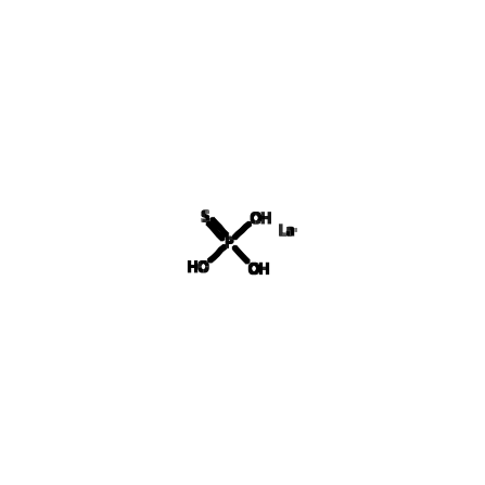 OP(O)(O)=S.[La]